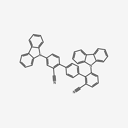 N#Cc1cc(-n2c3ccccc3c3ccccc32)ccc1-c1ccc(-c2c(C#N)cccc2-n2c3ccccc3c3ccccc32)cc1